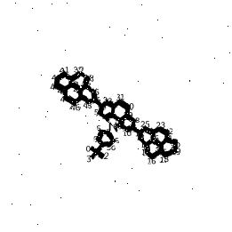 CC(C)(C)c1ccc(-n2c3cc(-c4cc5ccc6cccc7ccc(c4)c5c67)cc4ccc5cc(-c6cc7ccc8cccc9ccc(c6)c7c89)cc2c5c43)cc1